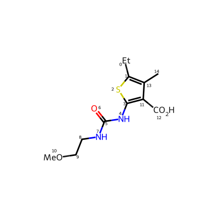 CCc1sc(NC(=O)NCCOC)c(C(=O)O)c1C